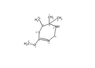 COC1=NCNC(C)(C)C(C)S1